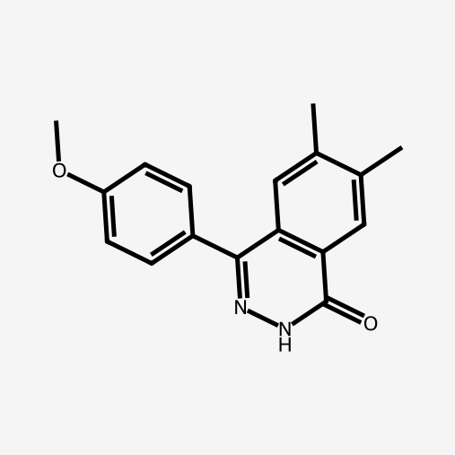 COc1ccc(-c2n[nH]c(=O)c3cc(C)c(C)cc23)cc1